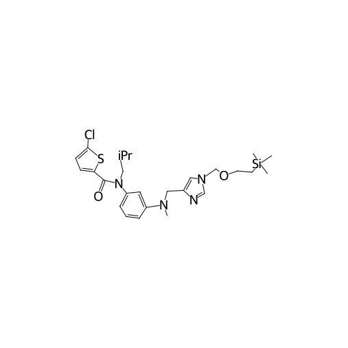 CC(C)CN(C(=O)c1ccc(Cl)s1)c1cccc(N(C)Cc2cn(COCC[Si](C)(C)C)cn2)c1